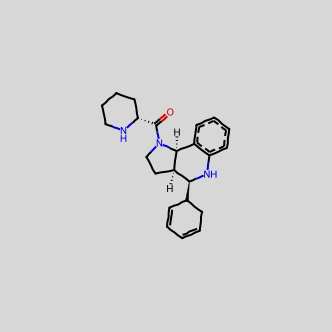 O=C([C@H]1CCCCN1)N1CC[C@@H]2[C@H](C3C=CC=CC3)Nc3ccccc3[C@@H]21